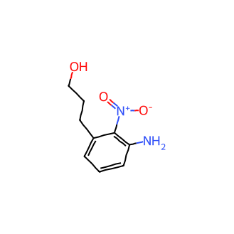 Nc1cccc(CCCO)c1[N+](=O)[O-]